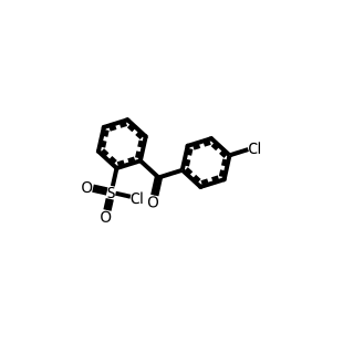 O=C(c1ccc(Cl)cc1)c1ccccc1S(=O)(=O)Cl